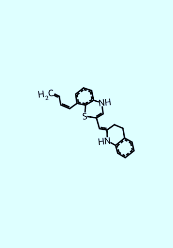 C=C/C=C\c1cccc2c1SC(/C=C1\CCc3ccccc3N1)=CN2